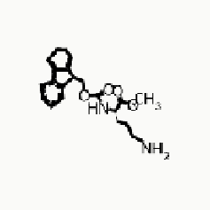 COC(=O)[C@H](CCCCN)NC(=O)OCC1C2=CCCC=C2c2ccccc21